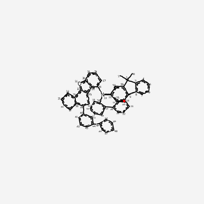 CC1(C)c2ccccc2-c2ccc(N(c3ccccc3-c3ccccc3)c3cccc4oc5c6ccccc6c(-c6cccc(-c7ccccc7)c6)cc5c34)cc21